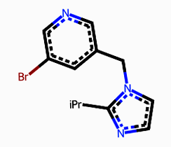 CC(C)c1nccn1Cc1cncc(Br)c1